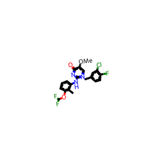 COc1cn(Cc2ccc(F)c(Cl)c2)c(Nc2cccc(OC(F)F)c2C)nc1=O